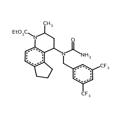 CCOC(=O)N1c2ccc3c(c2C(N(Cc2cc(C(F)(F)F)cc(C(F)(F)F)c2)C(N)=O)CC1C)CCC3